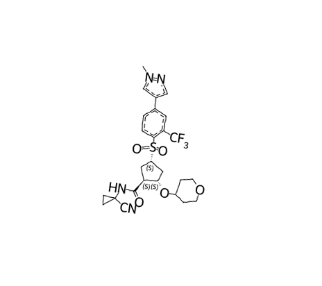 Cn1cc(-c2ccc(S(=O)(=O)[C@@H]3C[C@H](OC4CCOCC4)[C@@H](C(=O)NC4(C#N)CC4)C3)c(C(F)(F)F)c2)cn1